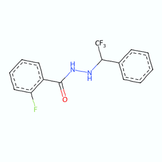 O=C(NNC(c1ccccc1)C(F)(F)F)c1ccccc1F